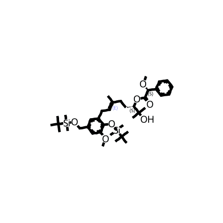 COc1cc(CO[Si](C)(C)C(C)(C)C)cc(C/C=C(\C)CC[C@H](OC(=O)[C@@H](OC)c2ccccc2)C(C)(C)O)c1O[Si](C)(C)C(C)(C)C